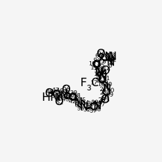 Cn1cnnc1CC1(c2cccc(-n3cc4c(C(F)(F)F)cc(CN5CCC(OCCN6CCC(CN7CCN(c8ccc9c(c8)CN([C@@H]8CCC(=O)NC8=O)C9=O)CC7)CC6)CC5)cn4c3=O)c2)COC1